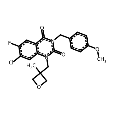 COc1ccc(Cn2c(=O)c3cc(F)c(Cl)cc3n(CC3(C)COC3)c2=O)cc1